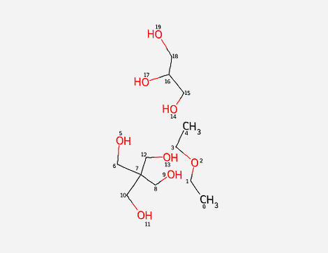 CCOCC.OCC(CO)(CO)CO.OCC(O)CO